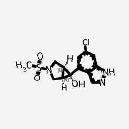 CS(=O)(=O)N1C[C@@H]2[C@H](C1)[C@]2(O)c1cc(Cl)cc2[nH]ncc12